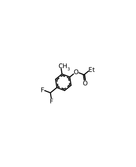 CCC(=O)Oc1ccc(C(F)F)cc1C